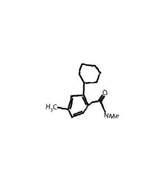 CNC(=O)c1ccc(C)cc1C1CCCCC1